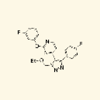 CCOCn1nnc(-c2ccc(F)cc2)c1-c1ccnc(Oc2cccc(F)c2)n1